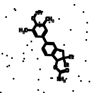 CCCOc1c(C)cc(-c2ccc3c(c2)CC(CC)(CC)C3OC(N)=O)cc1C